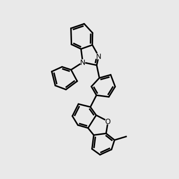 Cc1cccc2c1oc1c(-c3cccc(-c4nc5ccccc5n4-c4ccccc4)c3)cccc12